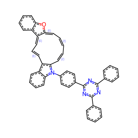 C1=C\C=c2\oc3ccccc3\c2=C/C=C/c2c(n(-c3ccc(-c4nc(-c5ccccc5)nc(-c5ccccc5)n4)cc3)c3ccccc23)\C=C/1